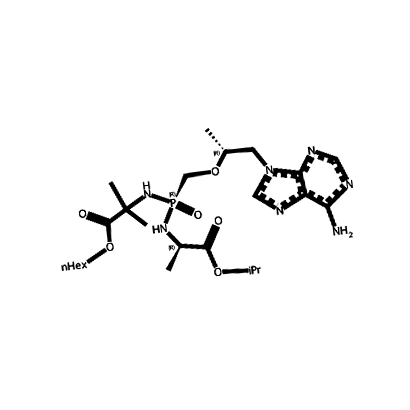 CCCCCCOC(=O)C(C)(C)N[P@@](=O)(CO[C@H](C)Cn1cnc2c(N)ncnc21)N[C@H](C)C(=O)OC(C)C